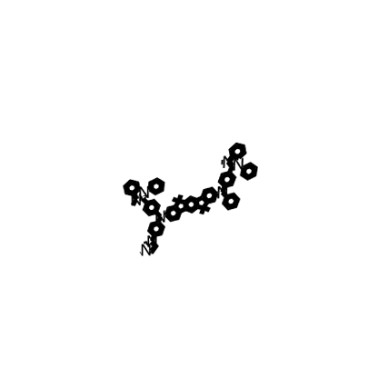 C[n+]1ccn(-c2ccc(N(c3ccc(-c4n(-c5ccccc5)c5ccccc5[n+]4C)cc3)c3ccc4c(c3)C(C)(C)c3cc5c(cc3-4)C(C)(C)c3cc(N(c4ccccc4)c4ccc(-c6n(-c7ccccc7)c7ccccc7[n+]6C)cc4)ccc3-5)cc2)c1